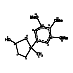 COc1cc(C2(C)CCC(O)O2)cc(OC)c1OC